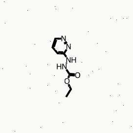 CCOC(=O)NNc1cccnn1